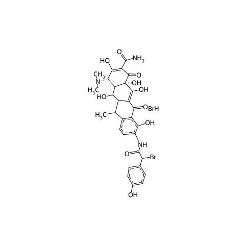 Br.CC1c2ccc(NC(=O)C(Br)c3ccc(O)cc3)c(O)c2C(=O)C2=C(O)[C@]3(O)C(=O)C(C(N)=O)=C(O)[C@@H](N(C)C)C3C(O)C21